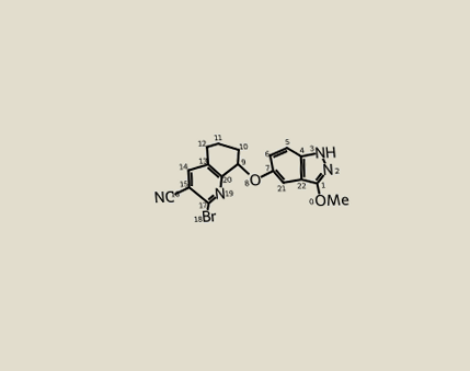 COc1n[nH]c2ccc(OC3CCCc4cc(C#N)c(Br)nc43)cc12